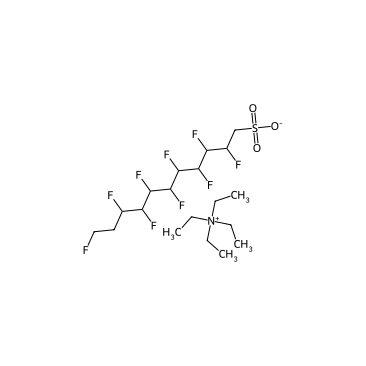 CC[N+](CC)(CC)CC.O=S(=O)([O-])CC(F)C(F)C(F)C(F)C(F)C(F)C(F)C(F)CCF